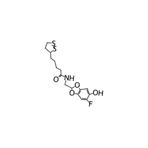 O=C(CCCCC1CCSS1)NCC1Oc2cc(O)c(F)cc2O1